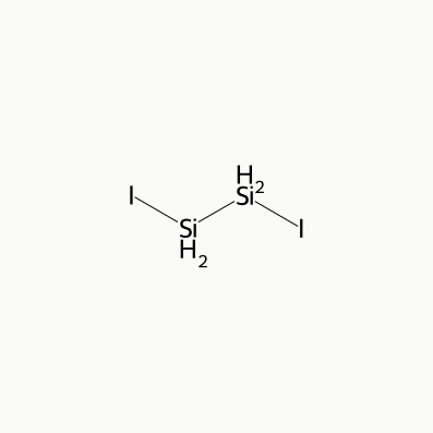 I[SiH2][SiH2]I